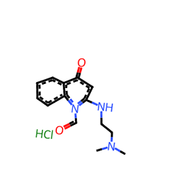 CN(C)CCNc1cc(=O)c2ccccc2n1C=O.Cl